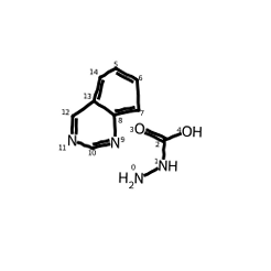 NNC(=O)O.c1ccc2ncncc2c1